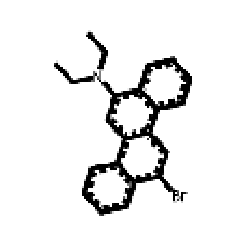 CCN(CC)c1cc2c3ccccc3c(Br)cc2c2ccccc12